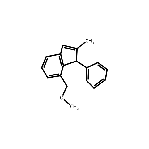 COCc1cccc2c1C(c1ccccc1)C(C)=C2